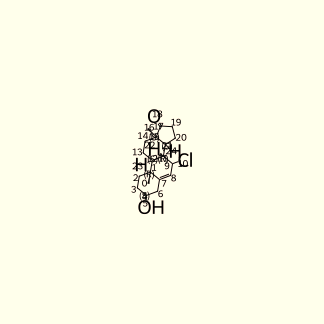 C[C@]12CC[C@H](O)CC1=CC(Cl)[C@@H]1[C@@H]2CC[C@]2(C)C(=O)CC[C@@H]12